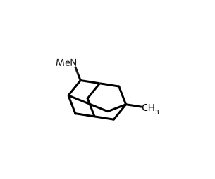 CNC1C2CC3CC1CC(C)(C3)C2